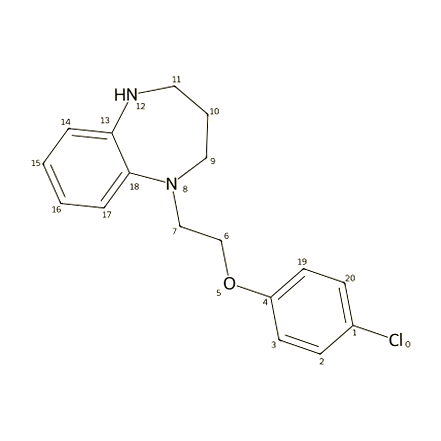 Clc1ccc(OCCN2CCCNc3ccccc32)cc1